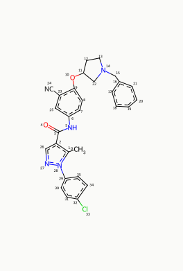 Cc1c(C(=O)Nc2ccc(OC3CCN(Cc4ccccc4)C3)c(C#N)c2)cnn1-c1ccc(Cl)cc1